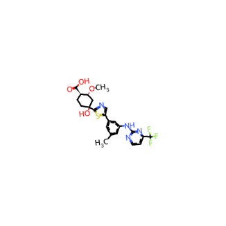 CO[C@@H]1C[C@](O)(c2ncc(-c3cc(C)cc(Nc4nccc(C(F)(F)F)n4)c3)s2)CC[C@H]1C(=O)O